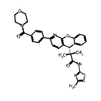 Cc1nsc(NC(=O)C(C)(C)[C@H]2c3ccccc3Oc3nc(-c4ccc(C(=O)N5CCOCC5)cc4)ccc32)n1